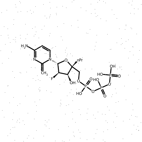 C=C1N=C(N)C=CN1[C@@H]1O[C@](CCC)(COP(=O)(O)OP(=O)(O)OP(=O)(O)O)[C@@H](O)[C@H]1F